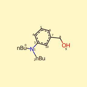 CCCCN(CCCC)c1cccc(CO)c1